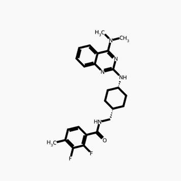 Cc1ccc(C(=O)NC[C@H]2CC[C@@H](Nc3nc(N(C)C)c4ccccc4n3)CC2)c(F)c1F